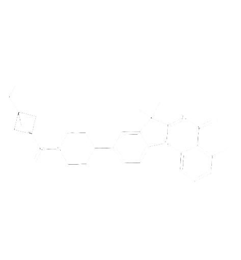 CC1(C)c2cc(C3CCN(C(=O)C45CC(CO)(C4)C5)CC3)ccc2-n2c1nc(=O)c1c(Cl)cccc12